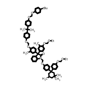 CCOCOc1ccc(C2(c3ccc(OCN4C(=O)C(c5ccc(OCOCC)c(C)c5)(c5ccc(OCOc6ccc(C(C)(C)c7ccc(OCOc8ccc(C(C)(C)C)cc8)cc7)cc6)c(C)c5)c5ccccc54)cc3)CC(C)CC(C)(C)C2)cc1